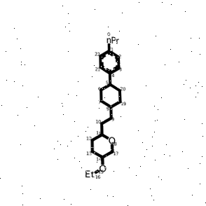 CCCc1ccc(C2CCC(CCC3CCC(OCC)CO3)CC2)cc1